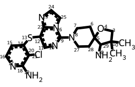 CC1(C)COC2(CCN(c3ncc(Sc4ccnc(N)c4Cl)c4nccn34)CC2)C1N